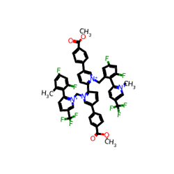 COC(=O)c1ccc(-c2ccc(-c3ccc(-c4ccc(C(=O)OC)cc4)c[n+]3C[n+]3cc(C(F)(F)F)ccc3-c3c(C)cc(F)cc3F)[n+](Cc3cc(F)cc(F)c3-c3ccc(C(F)(F)F)c[n+]3C)c2)cc1